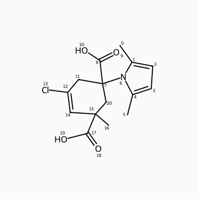 Cc1ccc(C)n1C1(C(=O)O)CC(Cl)=CC(C)(C(=O)O)C1